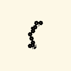 CC1(C)c2cc(-c3cccc(-c4ccc(-c5ccc6c(c5)c5ccccc5c5nccnc65)cc4)c3)ccc2-c2ccc(C3C=CC=C4c5ccccc5SC43)cc21